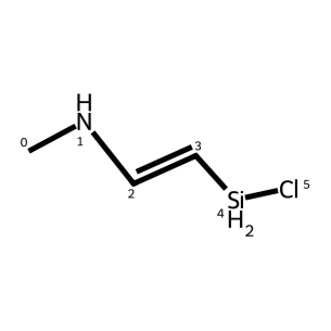 CNC=C[SiH2]Cl